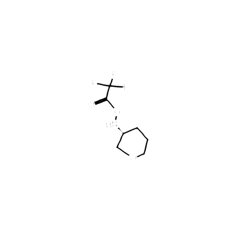 O=C(ON[C@H]1CCCOC1)C(F)(F)F